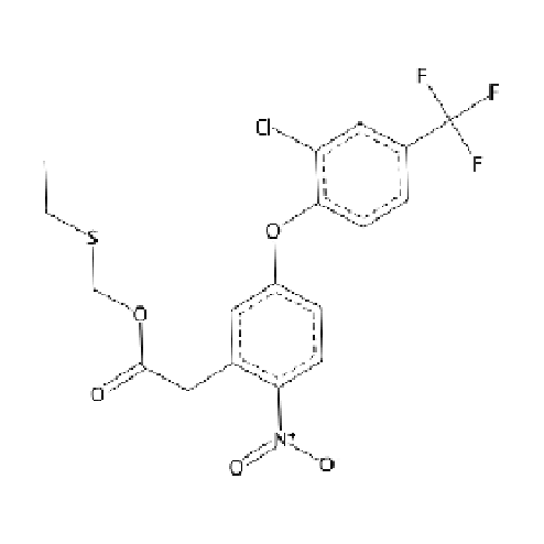 CCSCOC(=O)Cc1cc(Oc2ccc(C(F)(F)F)cc2Cl)ccc1[N+](=O)[O-]